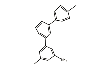 Cc1ccc(-c2cccc(-c3cc(C)cc(N)c3)c2)cc1